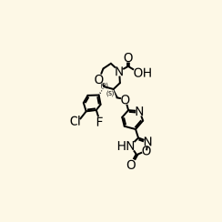 O=C(O)N1CCO[C@@H](c2ccc(Cl)c(F)c2)[C@H](COc2ccc(-c3noc(=O)[nH]3)cn2)C1